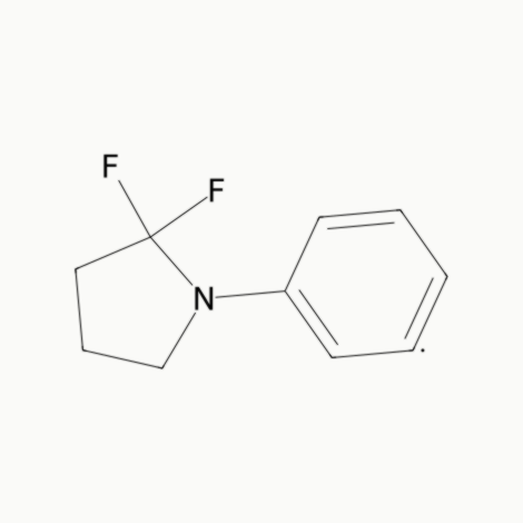 FC1(F)CCCN1c1c[c]ccc1